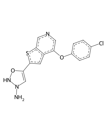 NN1C=C(c2cc3c(Oc4ccc(Cl)cc4)cncc3s2)ON1